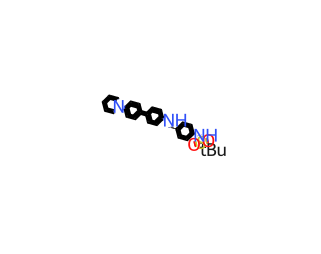 CC(C)(C)S(=O)(=O)N[C@H]1CC[C@H](CNc2ccc(-c3ccc(N4CCCCC4)cc3)cc2)CC1